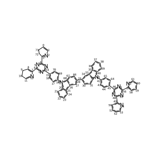 C1=CN=C(c2nc(C3=CCCC=N3)nc(-c3ccc(-n4c5ccccc5c5cc(-c6ccc7c(c6)c6ccccc6n7-c6ccc(-c7nc(-c8ccccn8)nc(-c8ccccn8)n7)cc6)ccc54)cc3)n2)CC1